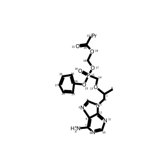 CC(Cn1cnc2c(N)ncnc21)OCP(=O)(OCOC(=O)C(C)C)Oc1ccccc1